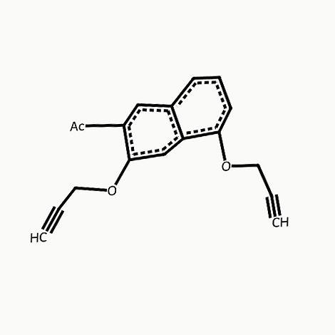 C#CCOc1cc2c(OCC#C)cccc2cc1C(C)=O